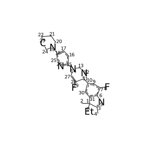 CCC1(C)C(C)=Nc2c(F)cc(C3=NCN(c4ccc(N5CCCCC5)cn4)C=C3F)cc21